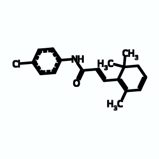 CC1=C(C=CC(=O)Nc2ccc(Cl)cc2)C(C)(C)CC=C1